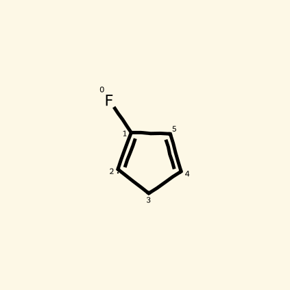 FC1=[C]CC=C1